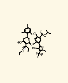 CC(C)OC(=O)c1cc(-c2nn(C)c(C(F)(F)F)c2Br)c(F)cc1Cl.CCO/N=C(\CC)C1=C(O)CC(c2c(C)cc(C)cc2C)CC1=O